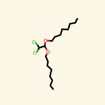 CCCCCCCCOC(OCCCCCCCC)C(Cl)Cl